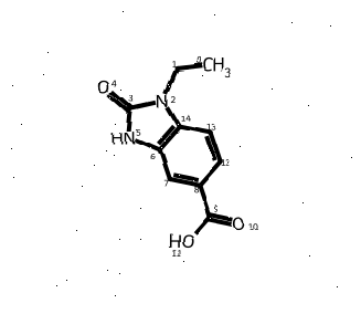 CCn1c(=O)[nH]c2cc(C(=O)O)ccc21